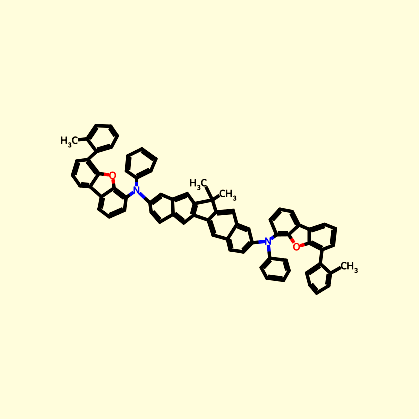 Cc1ccccc1-c1cccc2c1oc1c(N(c3ccccc3)c3ccc4cc5c(cc4c3)C(C)(C)c3cc4cc(N(c6ccccc6)c6cccc7c6oc6c(-c8ccccc8C)cccc67)ccc4cc3-5)cccc12